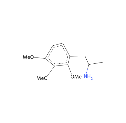 COc1ccc(CC(C)N)c(OC)c1OC